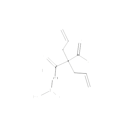 C=CCC(CC=C)(C(=O)O)C(=O)O.[Li+].[O-]B(O)O